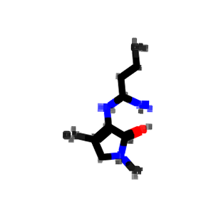 CC(=O)OCCC(N)NC1=C([N+](=O)[O-])CN(C(C)C)C1=O